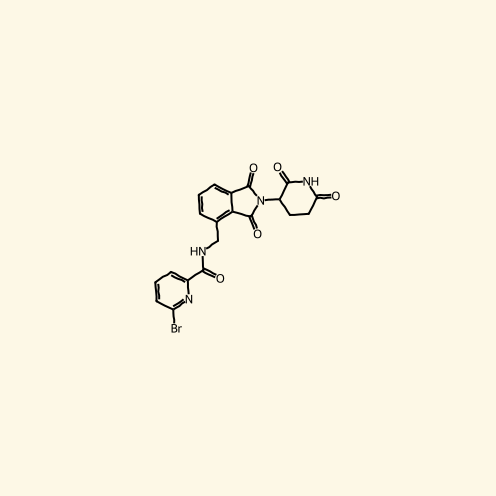 O=C1CCC(N2C(=O)c3cccc(CNC(=O)c4cccc(Br)n4)c3C2=O)C(=O)N1